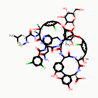 CN[C@H](CC(C)C)C(=O)N[C@H]1C(=O)N[C@@H](CC(N)=O)C(=O)N[C@H]2C(=O)N[C@H]3C(=O)N[C@H](C(=O)N[C@@H](C(=O)O)c4cc(O)cc(O)c4-c4cc3ccc4O)[C@H](O)c3ccc(c(Cl)c3)Oc3cc2cc(c3O[C@@H]2O[C@H](CO)[C@@H](O)[C@H](O)C2O[C@H]2C[C@](C)(NCc3cncc(NC(=O)c4cc(Cl)cc(Cl)c4)c3)[C@H](O)[C@H](C)O2)Oc2ccc(cc2Cl)[C@H]1O